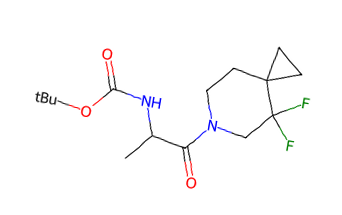 CC(NC(=O)OC(C)(C)C)C(=O)N1CCC2(CC2)C(F)(F)C1